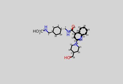 O=C(O)NC[C@H]1CC[C@H](CNC(=O)c2cc(N3CCC(CO)CC3)nc3ccccc23)CC1